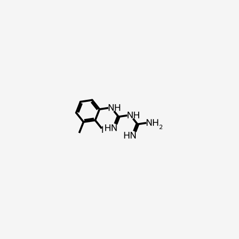 Cc1cccc(NC(=N)NC(=N)N)c1I